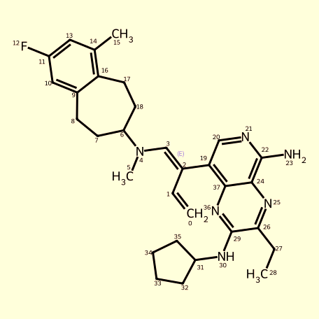 C=C/C(=C\N(C)C1CCc2cc(F)cc(C)c2CC1)c1cnc(N)c2nc(CC)c(NC3CCCC3)nc12